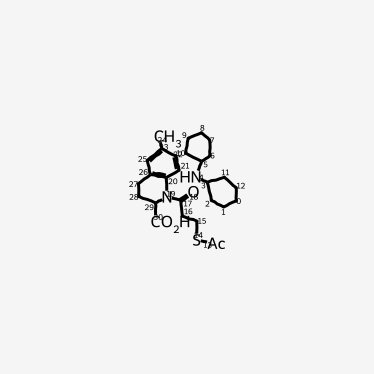 C1CCC(NC2CCCCC2)CC1.CC(=O)SCCC(=O)N1c2ccc(C)cc2CCC1C(=O)O